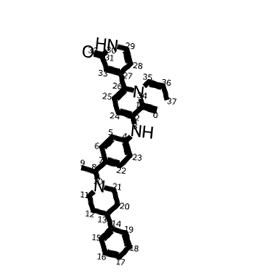 C=C1C(Nc2ccc(C(C)N3CCC(c4ccccc4)CC3)cc2)=CC=C(c2cc[nH]c(=O)c2)N1/C=C\C